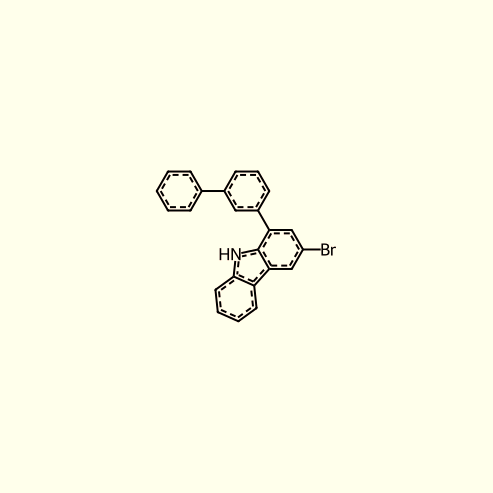 Brc1cc(-c2cccc(-c3ccccc3)c2)c2[nH]c3ccccc3c2c1